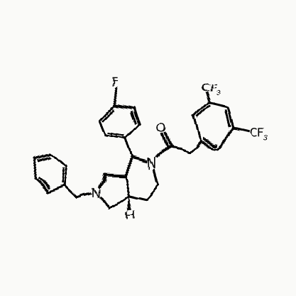 O=C(Cc1cc(C(F)(F)F)cc(C(F)(F)F)c1)N1CC[C@@H]2CN(Cc3ccccc3)CC2C1c1ccc(F)cc1